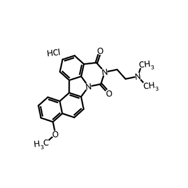 COc1cccc2c1ccc1c2c2cccc3c(=O)n(CCN(C)C)c(=O)n1c32.Cl